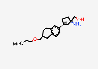 COCCOCC1CCc2cc([C@H]3CC[C@](N)(CO)C3)ccc2C1